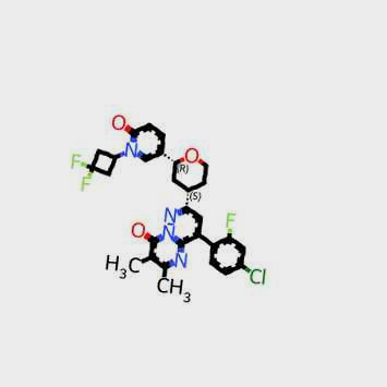 Cc1nc2c(-c3ccc(Cl)cc3F)cc([C@H]3CCO[C@@H](c4ccc(=O)n(C5CC(F)(F)C5)c4)C3)nn2c(=O)c1C